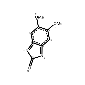 COc1cc2c(cc1OC)=NC(=O)N=2